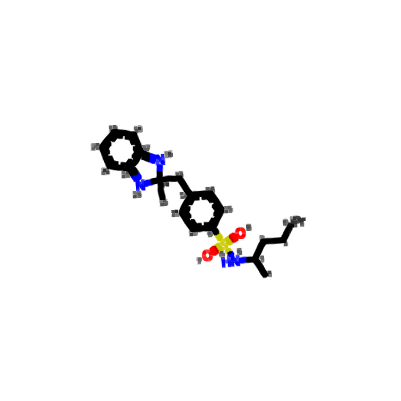 CC(C)CCC(C)NS(=O)(=O)c1ccc(CC2(C)N=c3ccccc3=N2)cc1